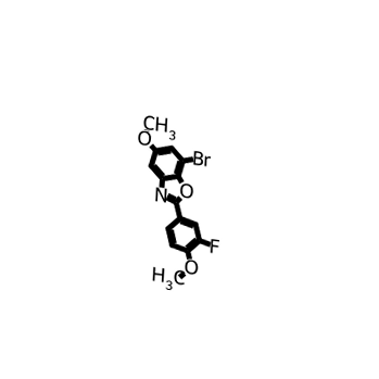 COc1cc(Br)c2oc(-c3ccc(OC)c(F)c3)nc2c1